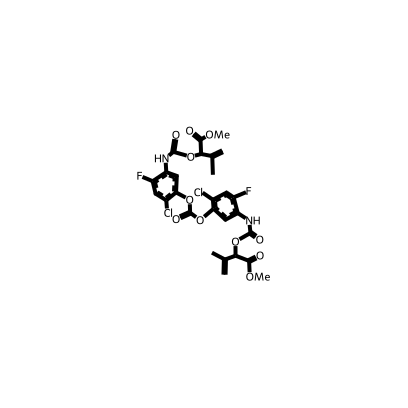 C=C(C)C(OC(=O)Nc1cc(OC(=O)Oc2cc(NC(=O)OC(C(=C)C)C(=O)OC)c(F)cc2Cl)c(Cl)cc1F)C(=O)OC